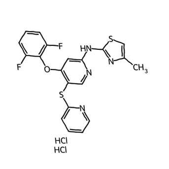 Cc1csc(Nc2cc(Oc3c(F)cccc3F)c(Sc3ccccn3)cn2)n1.Cl.Cl